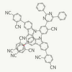 N#Cc1ccc(-c2ccc3c(c2)c2cc(-c4ccc(C#N)cc4C#N)ccc2n3-c2cc(C#N)c(-c3cc(-c4ccccc4)nc(-c4ccccc4)n3)cc2-n2c3ccc(-c4ccc(C#N)cc4C#N)cc3c3cc(-c4ccc(C#N)cc4C#N)ccc32)c(C#N)c1